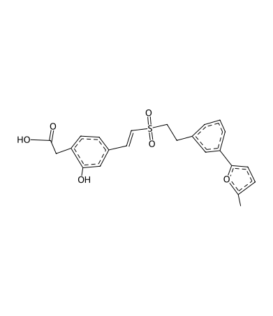 Cc1ccc(-c2cccc(CCS(=O)(=O)/C=C/c3ccc(CC(=O)O)c(O)c3)c2)o1